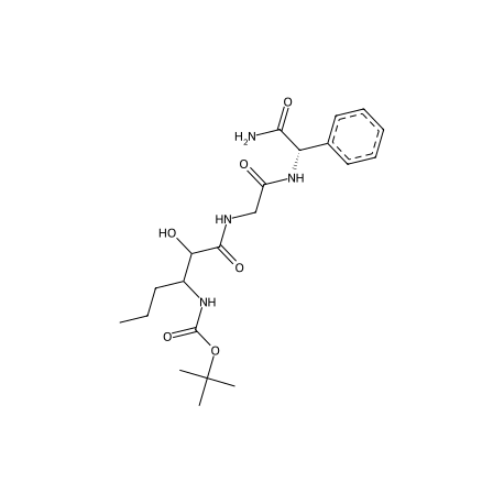 CCCC(NC(=O)OC(C)(C)C)C(O)C(=O)NCC(=O)N[C@H](C(N)=O)c1ccccc1